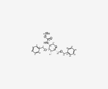 C[C@@H]1[C@H](OCc2ccccc2)[C@H](NC(=O)OC(C)(C)C)CO[C@@H]1COCc1ccccc1